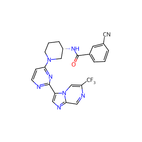 N#Cc1cccc(C(=O)N[C@H]2CCCN(c3ccnc(-c4cnc5cnc(C(F)(F)F)cn45)n3)C2)c1